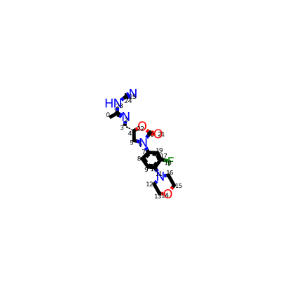 C/C(=N\C[C@H]1CN(c2ccc(N3CCOCC3)c(F)c2)C(=O)O1)NC#N